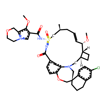 COc1c(C(=O)N[S@@]2(=O)=NC(=O)c3ccc4c(c3)N(C[C@@H]3CC[C@H]3[C@@H](OC)/C=C/C[C@H](C)C2)C[C@@]2(CCCc3cc(Cl)ccc32)CO4)cn2c1COCC2